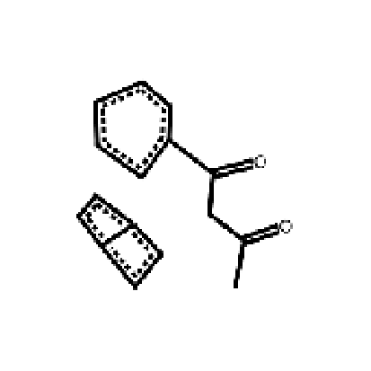 CC(=O)CC(=O)c1ccccc1.c1cc2ccc1-2